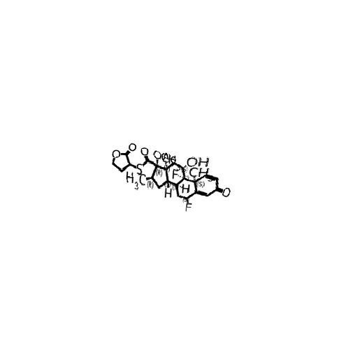 CC(=O)O[C@]1(C(=O)SC2CCOC2=O)[C@H](C)C[C@H]2[C@@H]3C[C@H](F)C4=CC(=O)C=C[C@]4(C)[C@]3(F)[C@@H](O)C[C@@]21C